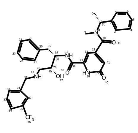 C[C@H](c1ccccc1)N(C)C(=O)c1cc(C(=O)N[C@@H](Cc2ccccc2)[C@H](O)CNCc2cccc(C(F)(F)F)c2)[nH]c(=O)c1